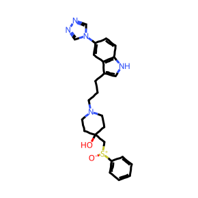 [O-][S+](CC1(O)CCN(CCCc2c[nH]c3ccc(-n4cnnc4)cc23)CC1)c1ccccc1